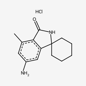 Cc1cc(N)cc2c1C(=O)NC21CCCCC1.Cl